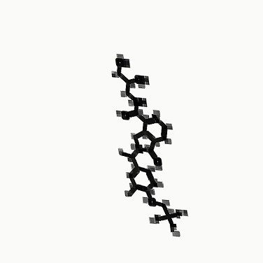 Cc1cc(C(C)N2Cc3c(ccnc3C(=O)NCC(O)CO)C2=O)cnc1OCC(F)(F)F